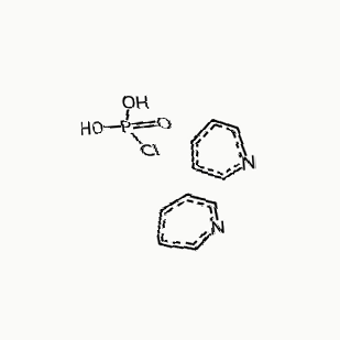 O=P(O)(O)Cl.c1ccncc1.c1ccncc1